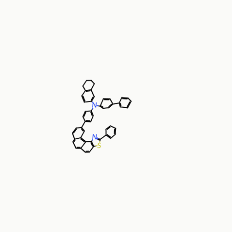 c1ccc(-c2ccc(N(c3ccc(-c4ccc5ccc6ccc7sc(-c8ccccc8)nc7c6c5c4)cc3)c3ccc4c(c3)CCCC4)cc2)cc1